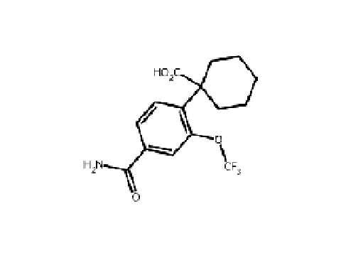 NC(=O)c1ccc(C2(C(=O)O)CCCCC2)c(OC(F)(F)F)c1